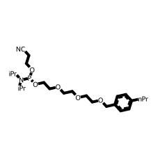 CCCc1ccc(COCCOCCOCCOP(OCCC#N)N(C(C)C)C(C)C)cc1